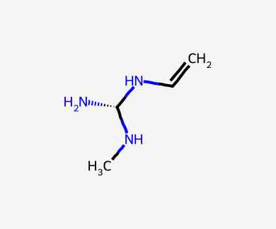 C=CN[C@@H](N)NC